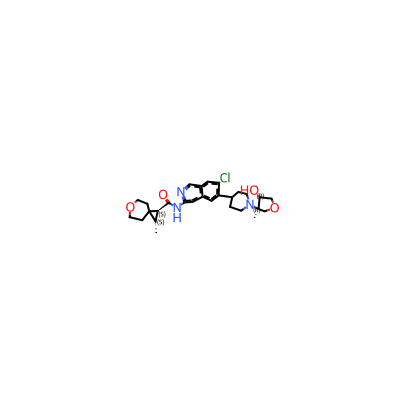 C[C@H]1[C@H](C(=O)Nc2cc3cc(C4CCN([C@]5(C)COC[C@@H]5O)CC4)c(Cl)cc3cn2)C12CCOCC2